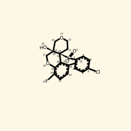 O=S(=O)(c1ccc(Cl)cc1)[C@]12CCOC[C@@]1(O)COc1c(F)ccc(F)c12